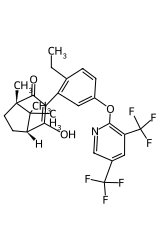 CCc1ccc(Oc2ncc(C(F)(F)F)cc2C(F)(F)F)cc1C1=C(O)[C@@H]2CC[C@](C)(C1=O)C2(C)C